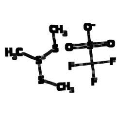 CS[S+](C)SC.O=S(=O)([O-])C(F)(F)F